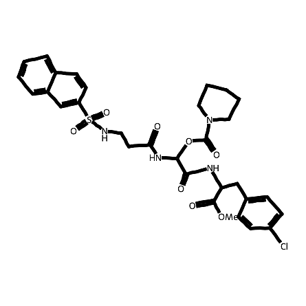 COC(=O)C(Cc1ccc(Cl)cc1)NC(=O)C(NC(=O)CCNS(=O)(=O)c1ccc2ccccc2c1)OC(=O)N1CCCCC1